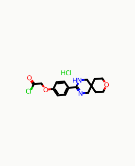 Cl.O=C(Cl)COc1ccc(C2=NCC3(CCOCC3)CN2)cc1